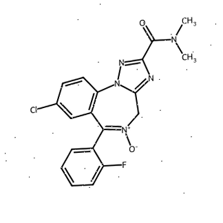 CN(C)C(=O)c1nc2n(n1)-c1ccc(Cl)cc1C(c1ccccc1F)=[N+]([O-])C2